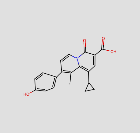 Cc1c(-c2ccc(O)cc2)ccn2c(=O)c(C(=O)O)cc(C3CC3)c12